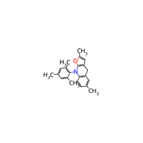 Cc1cc(C)c(N2c3ccc(C)cc3Cc3cc(C)oc32)c(C)c1